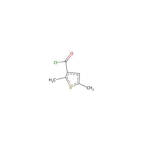 Cc1cc(C(=O)Cl)c(C)s1